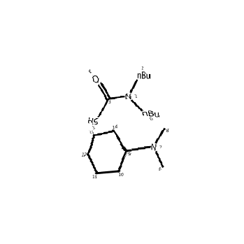 CCCCN(CCCC)C(=O)S.CN(C)C1CCCCC1